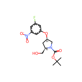 CC(C)(C)OC(=O)N1C[C@H](Oc2cc(F)cc([N+](=O)[O-])c2)C[C@@H]1CO